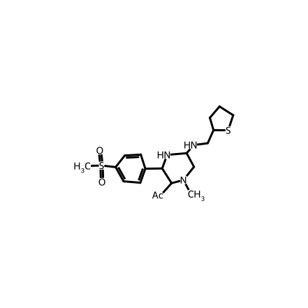 CC(=O)C1C(c2ccc(S(C)(=O)=O)cc2)NC(NCC2CCCS2)CN1C